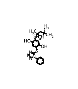 CC(C)(C)CC(C)(C)Sc1cc(O)c(Sc2nnnn2-c2ccccc2)cc1O